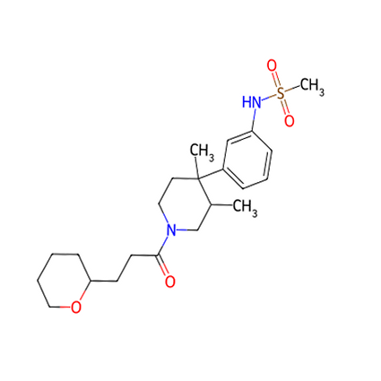 CC1CN(C(=O)CCC2CCCCO2)CCC1(C)c1cccc(NS(C)(=O)=O)c1